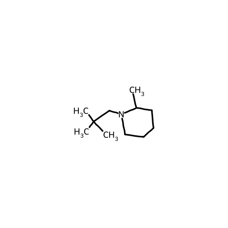 CC1CCCCN1CC(C)(C)C